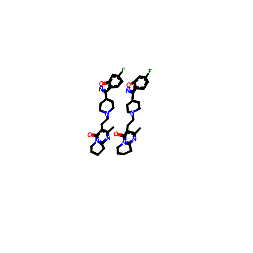 Cc1nc2n(c(=O)c1CCN1CCC(c3noc4cc(F)ccc34)CC1)CCCC2.Cc1nc2n(c(=O)c1CCN1CCC(c3noc4cc(F)ccc34)CC1)CCCC2